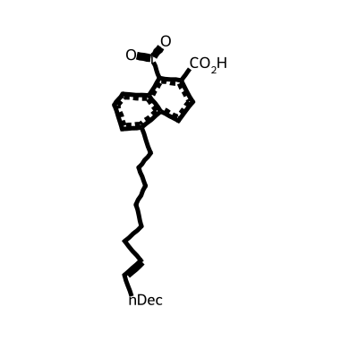 CCCCCCCCCC/C=C/CCCCCCc1cccc2c(I(=O)=O)c(C(=O)O)ccc12